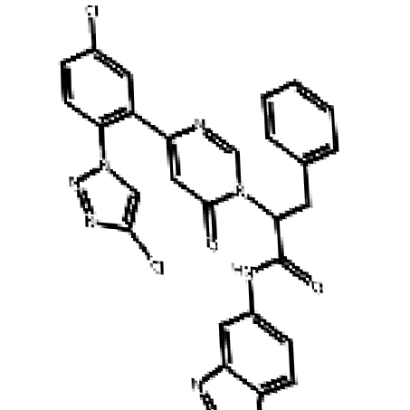 O=C(Nc1ccc2[nH]cnc2c1)C(Cc1ccccc1)n1cnc(-c2cc(Cl)ccc2-n2cc(Cl)nn2)cc1=O